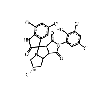 O=C1C2C3C[C@H](Cl)CN3C3(C(=O)Nc4c(Cl)cc(Cl)cc43)C2C(=O)N1c1cc(Cl)cc(Cl)c1O